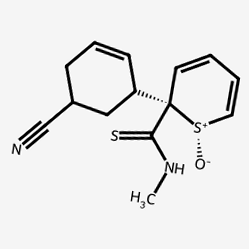 CNC(=S)[C@@]1(C2C=CCC(C#N)C2)C=CC=C[S@+]1[O-]